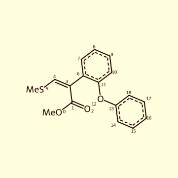 COC(=O)C(=CSC)c1ccccc1Oc1ccccc1